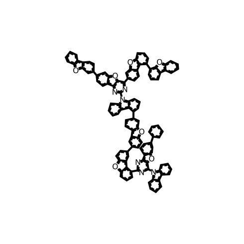 c1ccc(-c2ccc3c(c2)oc2c(-n4c5ccccc5c5ccccc54)nc(-c4cccc5oc6ccc(-c7ccc8oc9cc(-c%10cccc%11c%10c%10ccccc%10n%11-c%10nc(-c%11ccc%12c(c%11)oc%11cccc(-c%13cccc%14c%13oc%13ccccc%13%14)c%11%12)c%11oc%12cc(-c%13ccc%14c(c%13)oc%13ccccc%13%14)ccc%12c%11n%10)ccc9c8c7)cc6c45)nc23)cc1